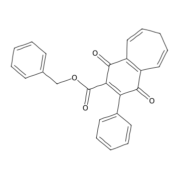 O=C(OCc1ccccc1)C1=C(c2ccccc2)C(=O)C2=C(C=CCC=C2)C1=O